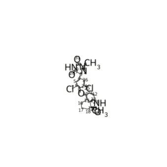 Cn1nc(-c2cc(Cl)c(Oc3ccc4c5c3CCCC5(C)C(=O)N4)c(Cl)c2)c(=O)[nH]c1=O